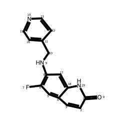 O=c1ccc2cc(F)c(NCc3ccncc3)cc2[nH]1